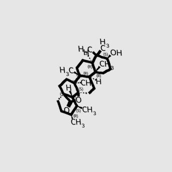 C[C@H]1[C@H](C)CC[C@@]23CC[C@]4(C)[C@@](CC[C@@H]5[C@@]6(C)CC[C@H](O)C(C)(C)[C@@H]6CC[C@]54C)(OC2=O)[C@H]13